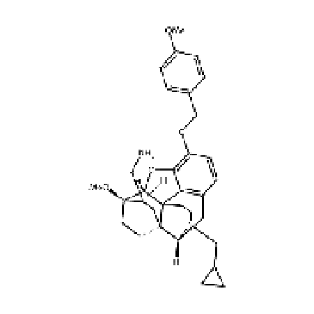 COc1ccc(COc2ccc3c4c2O[C@H]2[C@@]5(OC)CC[C@@]6(C[C@@H]5CN)[C@@H](C3)N(CC3CC3)CC[C@]426)cc1